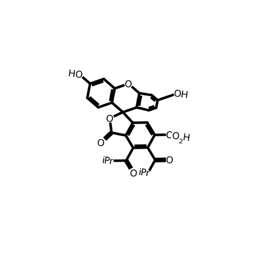 CC(C)C(=O)c1c(C(=O)O)cc2c(c1C(=O)C(C)C)C(=O)OC21c2ccc(O)cc2Oc2cc(O)ccc21